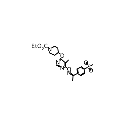 CCOC(=O)N1CCC(Oc2ncnc(ON=C(C)c3ccc(S(C)(=O)=O)cc3)c2C)CC1